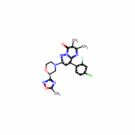 Cc1nc([C@@H]2CN(c3cc(-c4ccc(Cl)cc4F)c4nc(C)c(C)c(=O)n4n3)CCO2)no1